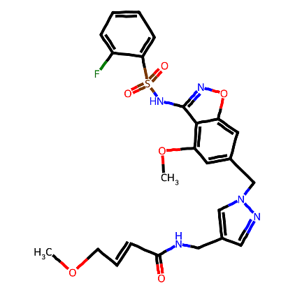 COC/C=C/C(=O)NCc1cnn(Cc2cc(OC)c3c(NS(=O)(=O)c4ccccc4F)noc3c2)c1